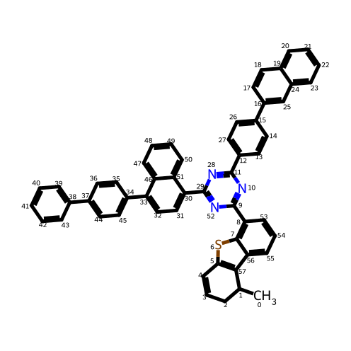 CC1CC=Cc2sc3c(-c4nc(-c5ccc(-c6ccc7ccccc7c6)cc5)nc(-c5ccc(-c6ccc(-c7ccccc7)cc6)c6ccccc56)n4)cccc3c21